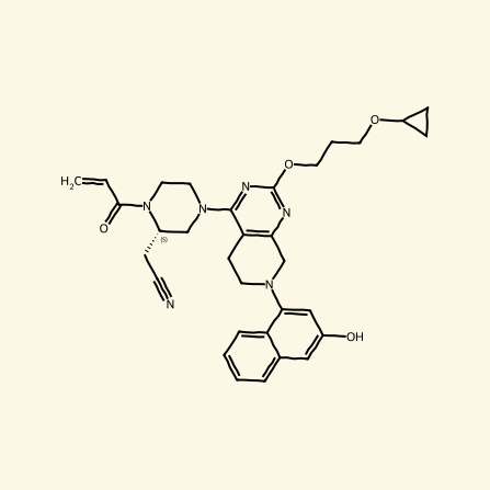 C=CC(=O)N1CCN(c2nc(OCCCOC3CC3)nc3c2CCN(c2cc(O)cc4ccccc24)C3)C[C@@H]1CC#N